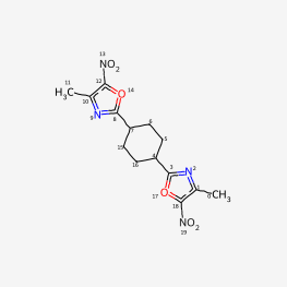 Cc1nc(C2CCC(c3nc(C)c([N+](=O)[O-])o3)CC2)oc1[N+](=O)[O-]